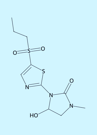 CCCS(=O)(=O)c1cnc(N2C(=O)N(C)CC2O)s1